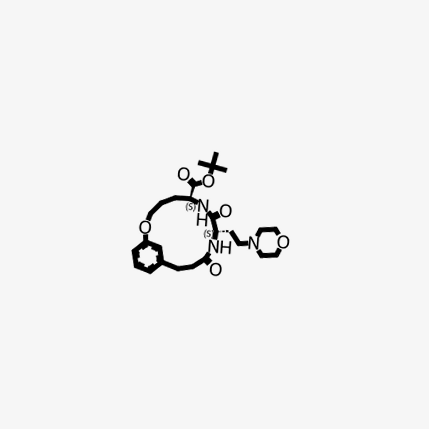 CC(C)(C)OC(=O)[C@@H]1CCCOc2cccc(c2)CCC(=O)N[C@@H](CCN2CCOCC2)C(=O)N1